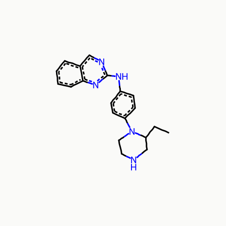 CCC1CNCCN1c1ccc(Nc2ncc3ccccc3n2)cc1